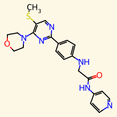 CSc1cnc(-c2ccc(NCC(=O)Nc3ccncc3)cc2)nc1N1CCOCC1